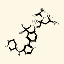 CC(C)CC(C)(COc1ccc(-c2cc(NC3CCCOC3)ncn2)cc1C(F)(F)F)OC(N)=O